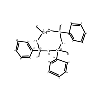 C[SiH]1O[Si](C)(c2ccccc2)O[Si](C)(c2ccccc2)O[Si](C)(c2ccccc2)O1